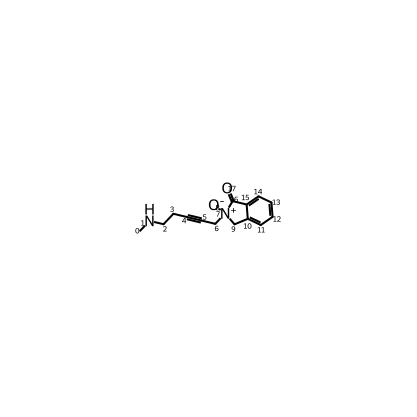 CNCCC#CC[N+]1([O-])Cc2ccccc2C1=O